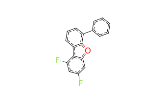 Fc1cc(F)c2c(c1)oc1c(-c3ccccc3)cccc12